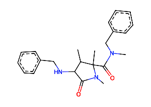 CC1C(NCc2ccccc2)C(=O)N(C)C1(C)C(=O)N(C)Cc1ccccc1